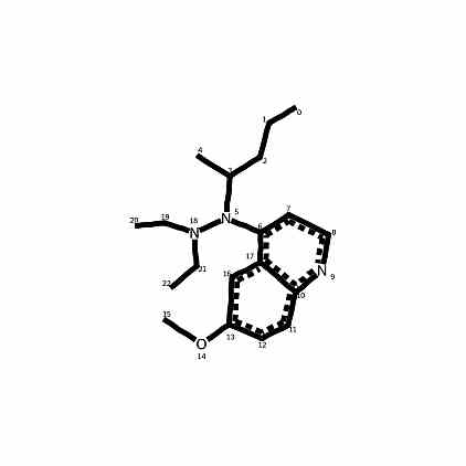 CCCC(C)N(c1ccnc2ccc(OC)cc12)N(CC)CC